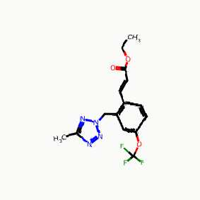 CCOC(=O)C=Cc1ccc(OC(F)(F)F)cc1Cn1nnc(C)n1